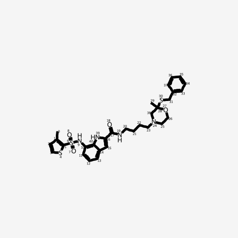 Cc1ccsc1S(=O)(=O)Nc1cccc2cc(C(=O)NCCCCN3CCOC(C)(SCc4ccccc4)C3)[nH]c12